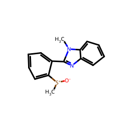 Cn1c(-c2ccccc2[S+](C)[O-])nc2ccccc21